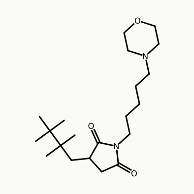 CC(C)(C)C(C)(C)CC1CC(=O)N(CCCCCN2CCOCC2)C1=O